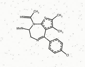 CNC1CN=C(c2ccc(Cl)cc2)c2c(sc(C)c2C)N1C(C)=N